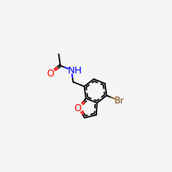 CC(=O)NCc1ccc(Br)c2ccoc12